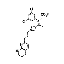 CN(C1CN(CCCc2ccc3c(n2)NCCC3)C1)[C@@H](CC(=O)O)c1cc(Cl)cc(Cl)c1